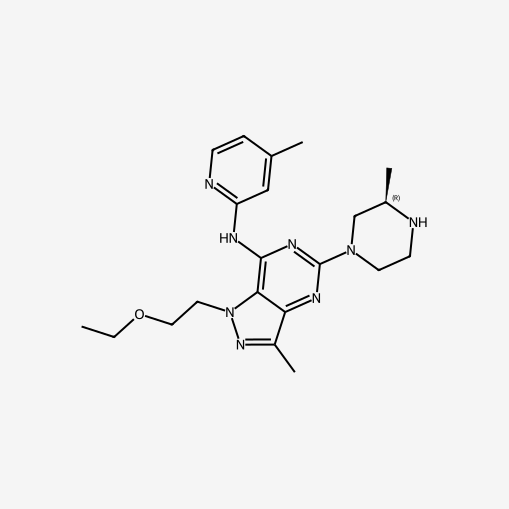 CCOCCn1nc(C)c2nc(N3CCN[C@H](C)C3)nc(Nc3cc(C)ccn3)c21